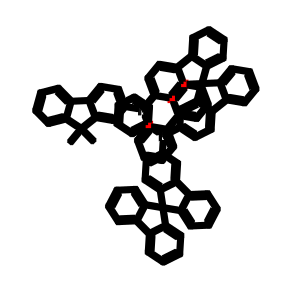 CC1(C)c2ccccc2-c2ccc(N(c3ccc4c(c3)C3(c5ccccc5-c5ccc(N(c6ccccc6)c6ccc7c(c6)-c6ccccc6C76c7ccccc7-c7ccccc76)cc53)c3ccccc3-4)c3ccccc3-c3ccccc3)cc21